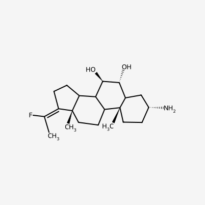 C/C(F)=C1/CCC2C3C(CC[C@]12C)[C@@]1(C)CC[C@@H](N)CC1[C@@H](O)[C@@H]3O